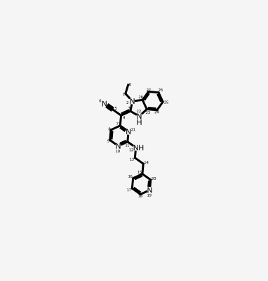 CCN1/C(=C(\C#N)c2ccnc(NCCc3cccnc3)n2)Nc2ccccc21